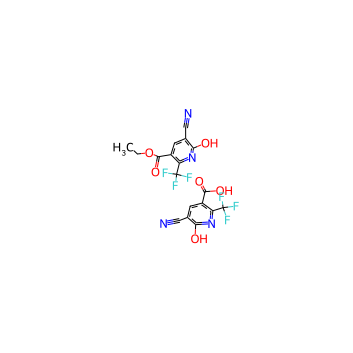 CCOC(=O)c1cc(C#N)c(O)nc1C(F)(F)F.N#Cc1cc(C(=O)O)c(C(F)(F)F)nc1O